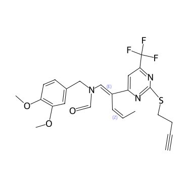 C#CCCSc1nc(C(/C=C\C)=C/N(C=O)Cc2ccc(OC)c(OC)c2)cc(C(F)(F)F)n1